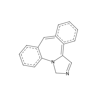 C1=NCN2C1=c1ccccc1=Cc1ccccc12